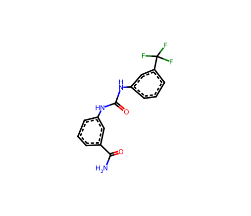 NC(=O)c1cccc(NC(=O)Nc2cccc(C(F)(F)F)c2)c1